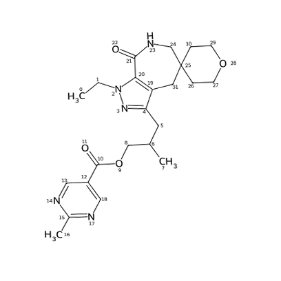 CCn1nc(CC(C)COC(=O)c2cnc(C)nc2)c2c1C(=O)NCC1(CCOCC1)C2